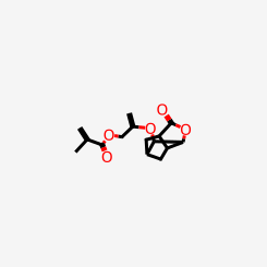 C=C(COC(=O)C(=C)C)OC1C2CC3C(=O)OC1C3C2